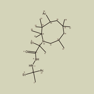 CCC(C)(NBC(=O)C(C)(CC)N1CC(C)CC(C)(C)CC(C(C)=O)C(C)(C)C1(C)C)C(C)=O